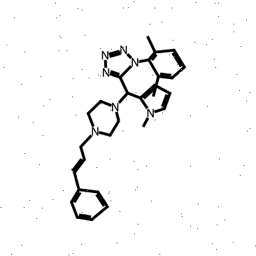 Cc1cccc(C)c1-n1nnnc1C(c1cccn1C)N1CCN(C/C=C/c2ccccc2)CC1